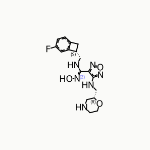 O/N=C(\NC[C@H]1Cc2ccc(F)cc21)c1nonc1NC[C@H]1CNCCO1